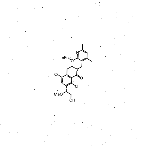 CCCCOc1nc(C)cc(C)c1CN1CCc2c(Cl)cc(C(CO)OC)c(Cl)c2C1=O